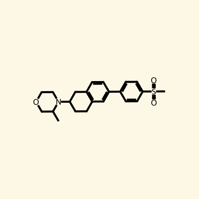 CC1COCCN1C1CCc2cc(-c3ccc(S(C)(=O)=O)cc3)ccc2C1